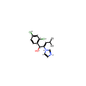 CCC(/C=C(/C(O)c1ccc(Cl)cc1Cl)n1ccnc1)CC